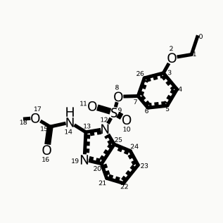 CCOc1cccc(OS(=O)(=O)n2c(NC(=O)OC)nc3ccccc32)c1